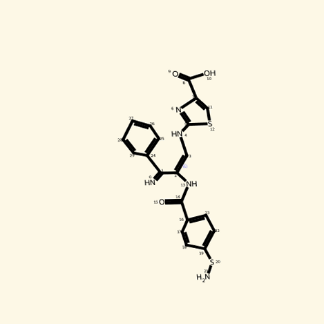 N=C(/C(=C\Nc1nc(C(=O)O)cs1)NC(=O)c1ccc(SN)cc1)c1ccccc1